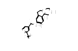 O=C(Nc1cc2c(cc1F)[C@@H]1CNCCN1CC2)c1ccnc(C(F)(F)F)c1